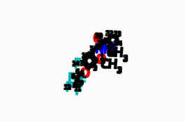 COc1cc(OCC(F)(F)C(F)F)c(F)cc1CNC(=O)[C@@H]1CCCN1C